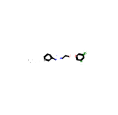 COc1cccc([C@@H](C)NCCCOc2cc(F)cc(Br)c2)c1